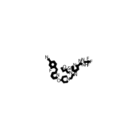 N#Cc1ccc(Cc2cccc(OC3CCN(Cc4nc5cc(-c6nnc(C(F)(F)F)[nH]6)ncc5n4C[C@]4([SiH3])CCO4)CC3)n2)c(F)c1